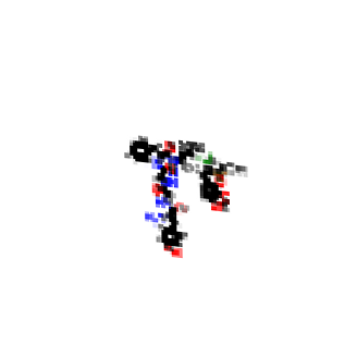 CCCCCCCC[S+]([O-])C(C)Cc1ccc2c(c1)OCO2.CSCC[C@H](NC(=O)[C@H](Cc1ccccc1)NC(=O)CNC(=O)CNC(=O)[C@@H](N)Cc1ccc(O)cc1)C(=O)O.Cl